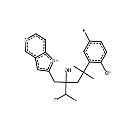 CC(C)(CC(O)(Cc1cc2cnccc2[nH]1)C(F)F)c1cc(F)ccc1O